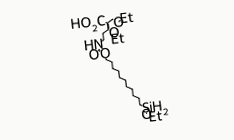 CCOCC(C(=O)O)=C(CCNC(=O)OCCCCCCCCCCC[SiH2]OCC)OCC